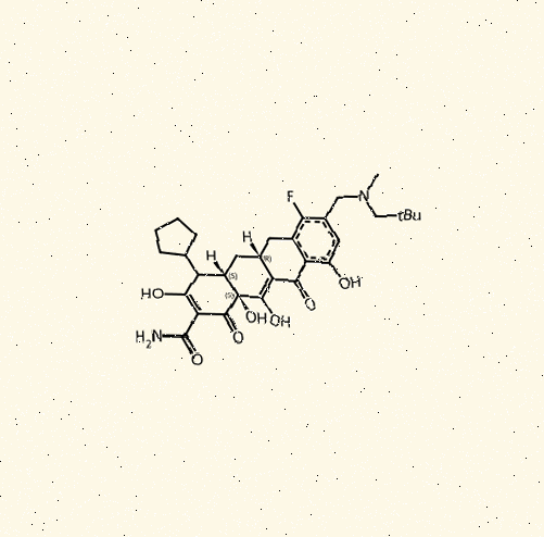 CN(Cc1cc(O)c2c(c1F)C[C@H]1C[C@H]3C(C4CCCC4)C(O)=C(C(N)=O)C(=O)[C@@]3(O)C(O)=C1C2=O)CC(C)(C)C